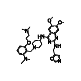 COc1cc2nc(NCc3cnco3)nc(NC3CCN(Cc4c(OCCN(C)C)cccc4N(C)C)CC3)c2cc1OC